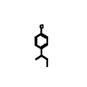 CCC(C)c1ccc(Cl)cc1